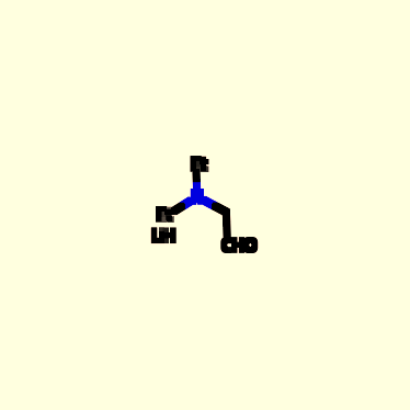 CCN(CC)CC=O.[LiH]